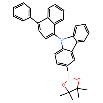 CC1(C)OB(c2ccc3c(c2)c2ccccc2n3-c2ccc(-c3ccccc3)c3ccccc23)OC1(C)C